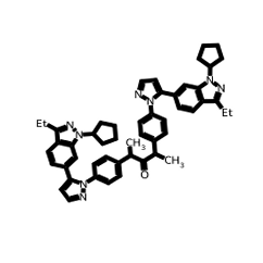 CCc1nn(C2CCCC2)c2cc(-c3ccnn3-c3ccc(C(C)C(=O)C(C)c4ccc(-n5nccc5-c5ccc6c(CC)nn(C7CCCC7)c6c5)cc4)cc3)ccc12